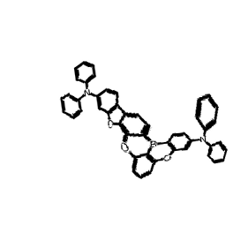 c1ccc(N(c2ccccc2)c2ccc3c(c2)Oc2cccc4c2B3c2ccc3c(oc5cc(N(c6ccccc6)c6ccccc6)ccc53)c2O4)cc1